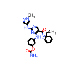 CCC1(NC(=O)c2cnc(Nc3cnn(C)c3)nc2Nc2cccc(OC(N)=O)c2)C=CC=CC1